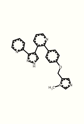 Cn1cncc1COc1ccc(-c2ncccc2-c2c[nH]nc2-c2ccccn2)cc1